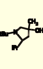 CC(C)C1CC(C)(O)CN1C(C)(C)C